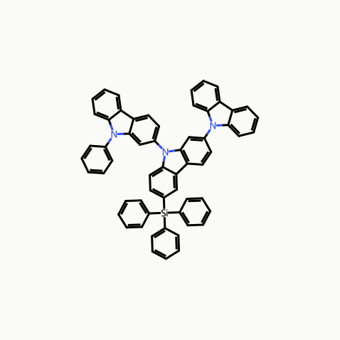 c1ccc(-n2c3ccccc3c3ccc(-n4c5ccc([Si](c6ccccc6)(c6ccccc6)c6ccccc6)cc5c5ccc(-n6c7ccccc7c7ccccc76)cc54)cc32)cc1